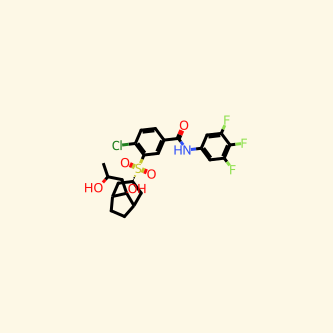 CC(O)C[C@]1(O)C2CCC1C[C@@H](S(=O)(=O)c1cc(C(=O)Nc3cc(F)c(F)c(F)c3)ccc1Cl)C2